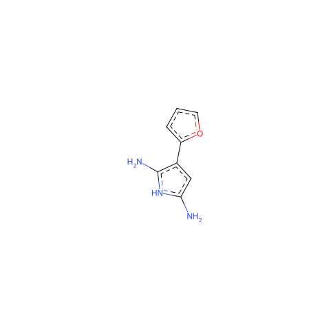 Nc1cc(-c2ccco2)c(N)[nH]1